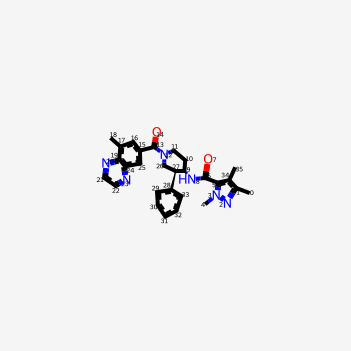 Cc1nn(C)c(C(=O)N[C@@H]2CCN(C(=O)c3cc(C)c4nccnc4c3)C[C@@H]2c2ccccc2)c1C